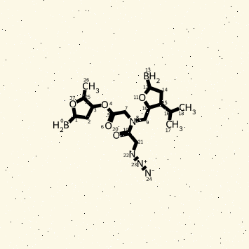 BC1CC(OC(=O)CN(CC2OC(B)CC2C(C)C)C(=O)CN=[N+]=[N-])C(C)O1